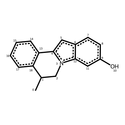 CC1Cn2c(cc3ccc(O)cc32)-c2ccccc21